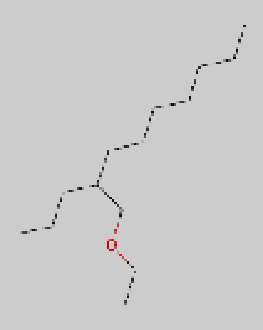 CCCCCCCC(CCC)COCC